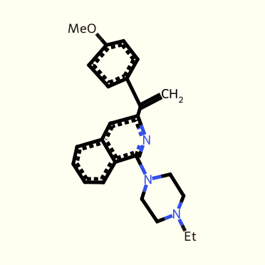 C=C(c1ccc(OC)cc1)c1cc2ccccc2c(N2CCN(CC)CC2)n1